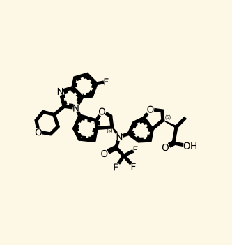 CC(C(=O)O)[C@@H]1COc2cc(N(C(=O)C(F)(F)F)[C@@H]3COc4c3cccc4-n3c(C4CCOCC4)nc4ccc(F)cc43)ccc21